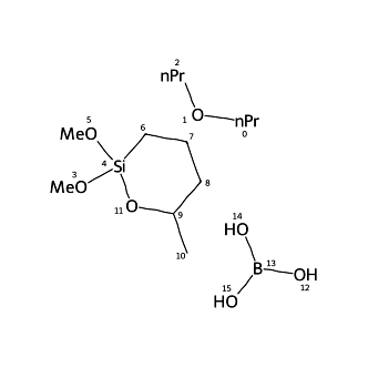 CCCOCCC.CO[Si]1(OC)CCCC(C)O1.OB(O)O